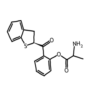 CC(N)C(=O)Oc1ccccc1C(=O)[C@@H]1Cc2ccccc2S1